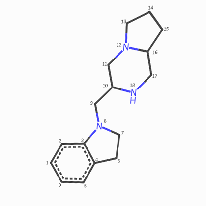 c1ccc2c(c1)CCN2CC1CN2CCCC2CN1